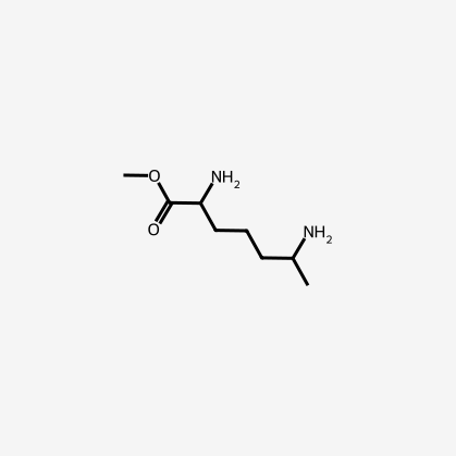 COC(=O)C(N)CCCC(C)N